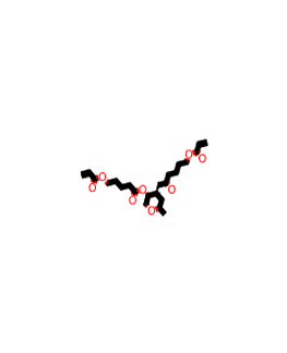 C=CC(=O)OCCCCC(=O)C[C@H]1CC(C)OC[C@H]1OC(=O)CCCCOC(=O)C=C